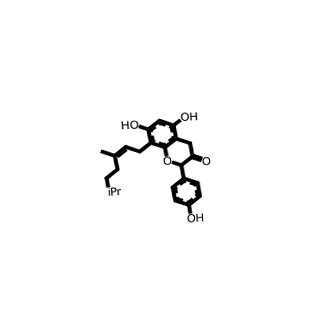 CC(=CCc1c(O)cc(O)c2c1OC(c1ccc(O)cc1)C(=O)C2)CCC(C)C